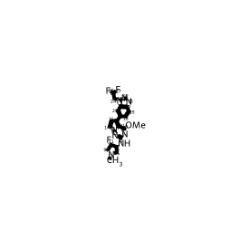 COc1nc(N[C@@H]2CN(C)C[C@@H]2F)nn2ccc(-c3ccc4nnn(CC(F)F)c4c3)c12